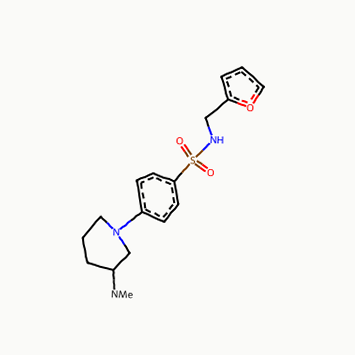 CNC1CCCN(c2ccc(S(=O)(=O)NCc3ccco3)cc2)C1